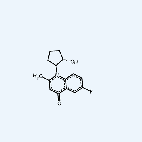 Cc1cc(=O)c2cc(F)ccc2n1[C@H]1CCC[C@@H]1O